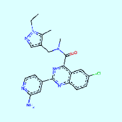 CCn1ncc(CN(C)C(=O)c2nc(-c3ccnc(N)c3)nc3ccc(Cl)cc23)c1C